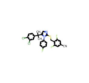 CC(C)(c1ccc(Cl)c(Cl)c1)c1cnc(SCc2c(F)cc(C#N)cc2F)n1-c1ccc(F)cc1